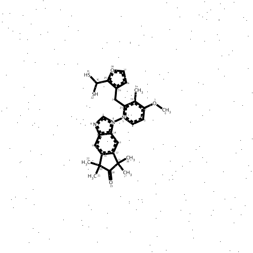 COc1cc[n+](-n2cnc3cc4c(cc32)C(C)(C)C(=O)C4(C)C)c(Cc2ccoc2C(S)S)c1C